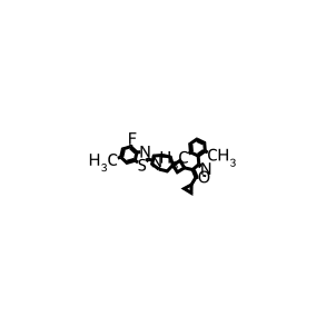 Cc1cc(F)c2nc(N3C4CCC3CC3(CC(c5c(-c6c(C)cccc6C)noc5C5CC5)C3)C4)sc2c1